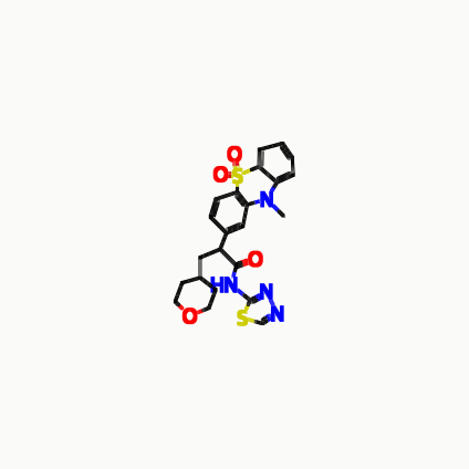 CN1c2ccccc2S(=O)(=O)c2ccc(C(CC3CCOCC3)C(=O)Nc3nncs3)cc21